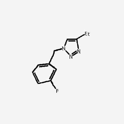 CCc1cn(Cc2cccc(F)c2)nn1